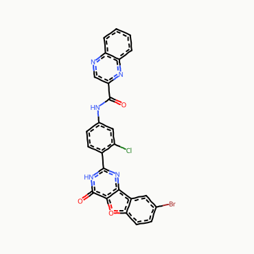 O=C(Nc1ccc(-c2nc3c(oc4ccc(Br)cc43)c(=O)[nH]2)c(Cl)c1)c1cnc2ccccc2n1